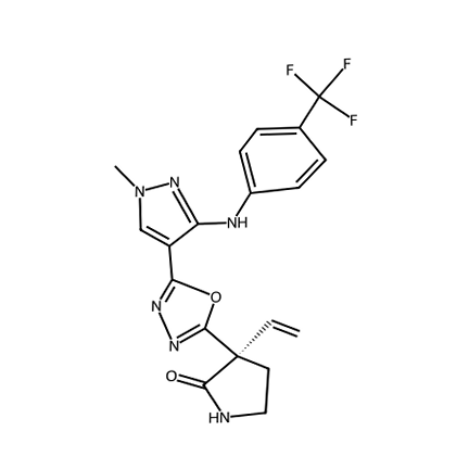 C=C[C@]1(c2nnc(-c3cn(C)nc3Nc3ccc(C(F)(F)F)cc3)o2)CCNC1=O